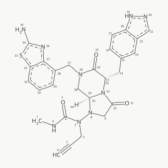 C#CCN(C(=O)NC)N1CC(=O)N2[C@@H](Cc3ccc4[nH]ncc4c3)C(=O)N(Cc3cccc4sc(N)nc34)C[C@@H]21